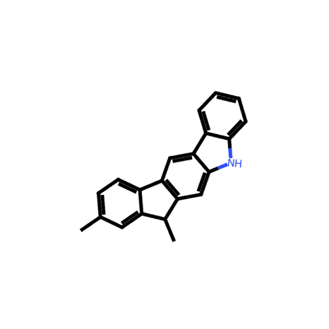 Cc1ccc2c(c1)C(C)c1cc3[nH]c4ccccc4c3cc1-2